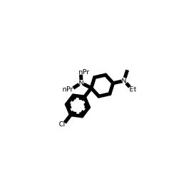 CCCN(CCC)C1(c2ccc(Cl)cc2)CCC(N(C)CC)CC1